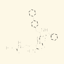 CC(=O)NCCCC[C@H](NC(=O)[C@@H](Cc1ccccc1)N(C)C(=O)[C@H](N)Cc1ccc(-c2ccccc2)cc1)C(N)=O